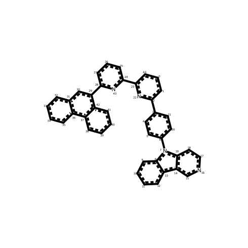 c1cc(-c2ccc(-n3c4ccccc4c4cnccc43)cc2)nc(-c2cccc(-c3cc4ccccc4c4ccccc34)n2)c1